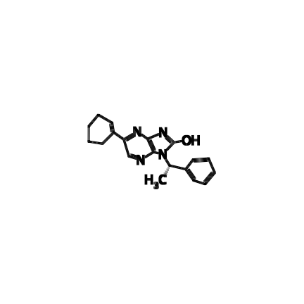 C[C@@H](c1ccccc1)n1c(O)nc2nc(C3=CCCCC3)cnc21